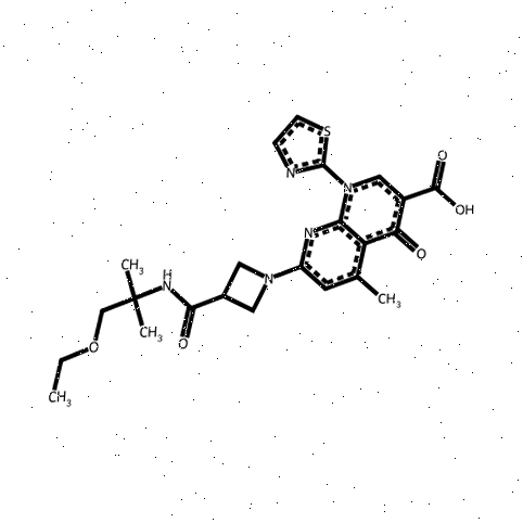 CCOCC(C)(C)NC(=O)C1CN(c2cc(C)c3c(=O)c(C(=O)O)cn(-c4nccs4)c3n2)C1